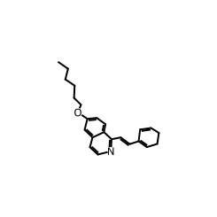 CCCCCCOc1ccc2c(C=CC3=CCCC=C3)nccc2c1